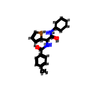 Cc1ccc(C(=O)NC(C(=O)NC2CCCCC2)c2cccs2)cc1